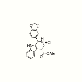 COC(=O)[C@H]1CN[C@H](c2ccc3c(c2)OCO3)c2[nH]c3ccccc3c21.Cl